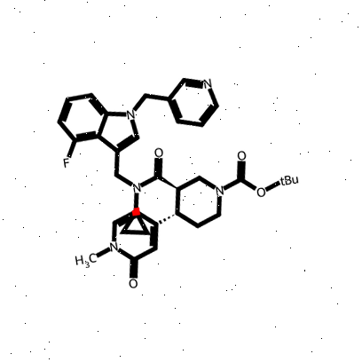 Cn1ccc([C@H]2CCN(C(=O)OC(C)(C)C)C[C@@H]2C(=O)N(Cc2cn(Cc3cccnc3)c3cccc(F)c23)C2CC2)cc1=O